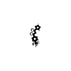 O=C(CC(=O)C1CCCC1)c1ccc(C(F)(F)F)cc1